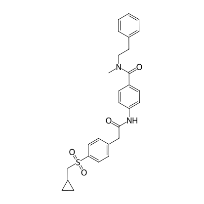 CN(CCc1ccccc1)C(=O)c1ccc(NC(=O)Cc2ccc(S(=O)(=O)CC3CC3)cc2)cc1